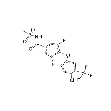 CS(=O)(=O)NC(=O)c1cc(F)c(Oc2ccc(Cl)c(C(F)(F)F)c2)c(F)c1